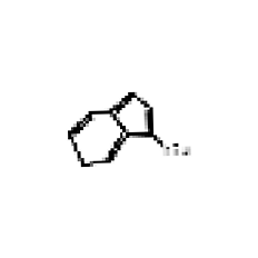 CCCCC1=CC=C2C=CCC=C21